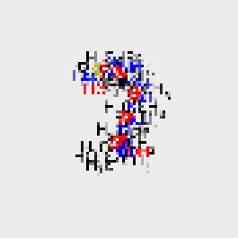 CC=CC[C@@H](C)[C@@H](O)[C@@H](C(=O)N[C@H](C(=O)O)[C@@H](C)O)N(C)C(=O)[C@H](C(C)C)N(C)C(=O)[C@H](CC(C)C)NC(=O)[C@H](CC(C)C)N(C)C(=O)[C@@H](C)NC(=O)[C@H](C)NC(=O)[C@H](CC(C)C)N(C)C(=O)[C@H](CC(C)C)NC(=O)[C@H](CC(C)C)N(C)C(=O)CN(C)C(=O)[C@@H](NC(=S)Nc1ccccc1)[C@@H](C)O